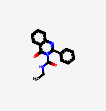 CCNC(=O)n1c(-c2ccccc2)nc2ccccc2c1=O